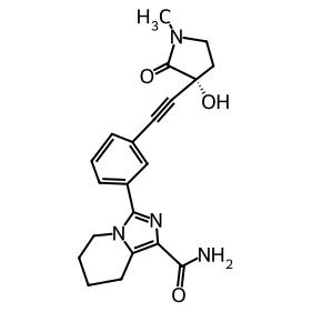 CN1CC[C@@](O)(C#Cc2cccc(-c3nc(C(N)=O)c4n3CCCC4)c2)C1=O